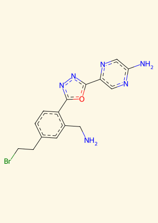 NCc1cc(CCBr)ccc1-c1nnc(-c2cnc(N)cn2)o1